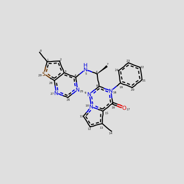 Cc1cc2c(N[C@@H](C)c3nn4ccc(C)c4c(=O)n3-c3ccccc3)ncnc2s1